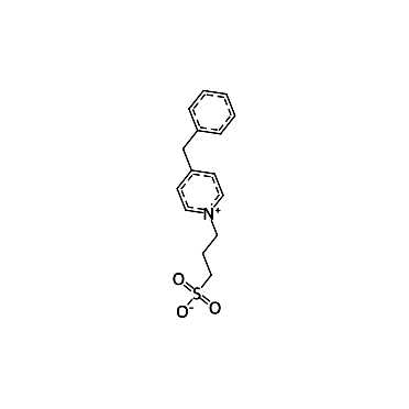 O=S(=O)([O-])CCC[n+]1ccc(Cc2ccccc2)cc1